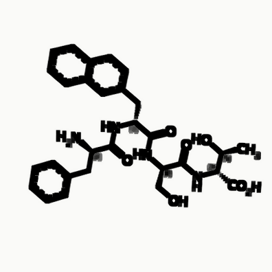 C[C@H](O)[C@@H](NC(=O)[C@@H](CO)NC(=O)[C@@H](Cc1ccc2ccccc2c1)NC(=O)[C@H](N)Cc1ccccc1)C(=O)O